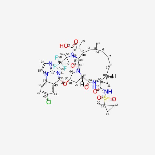 CC[C@@H]1C[C@@H](C)CCC=C[C@@H]2C[C@@]2(C(=O)NS(=O)(=O)C2(C)CC2)NC(=O)[C@@H]2C[C@@H](Oc3nc4nccn4c4ccc(Cl)cc34)CN2C(=O)[C@H]1N(C(=O)O)C(C)(C)C(F)(F)F